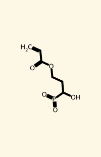 C=CC(=O)OCCC(O)P(=O)=O